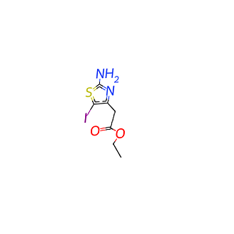 CCOC(=O)Cc1nc(N)sc1I